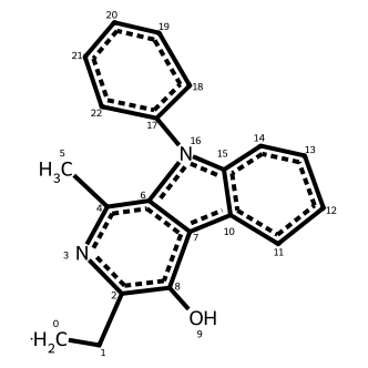 [CH2]Cc1nc(C)c2c(c1O)c1ccccc1n2-c1ccccc1